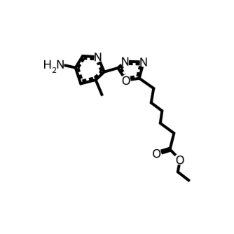 CCOC(=O)CCCCCc1nnc(-c2ncc(N)cc2C)o1